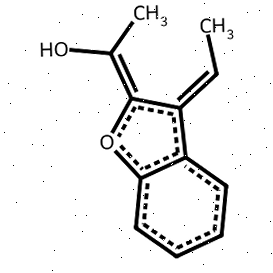 C/C=c1\c(=C(/C)O)oc2ccccc12